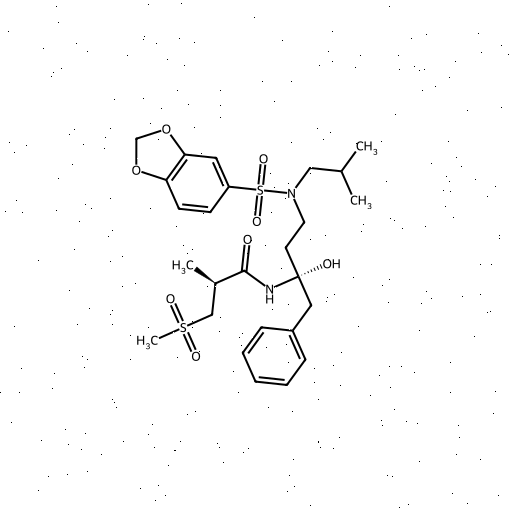 CC(C)CN(CC[C@@](O)(Cc1ccccc1)NC(=O)[C@H](C)CS(C)(=O)=O)S(=O)(=O)c1ccc2c(c1)OCO2